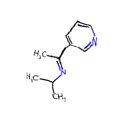 CC(=NC(C)C)c1cccnc1